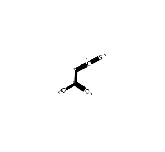 [O]C(=O)C=C=S